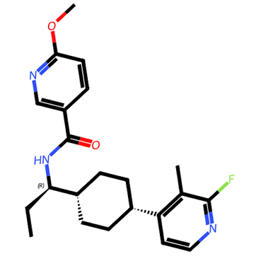 CC[C@@H](NC(=O)c1ccc(OC)nc1)[C@H]1CC[C@@H](c2ccnc(F)c2C)CC1